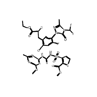 CCOC(=O)C(Cl)Cc1cc(-n2nc(C)n(C(F)F)c2=O)c(F)cc1Cl.COC(=O)c1sccc1S(=O)(=O)NC(=O)Nc1nc(C)nc(OC)n1